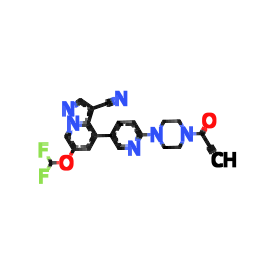 C#CC(=O)N1CCN(c2ccc(-c3cc(OC(F)F)cn4ncc(C#N)c34)cn2)CC1